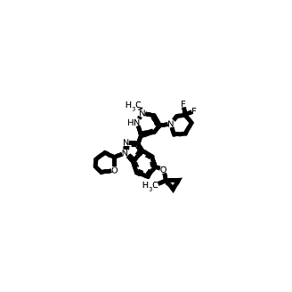 CN1C=C(N2CCCC(F)(F)C2)C=C(c2nn(C3CCCCO3)c3ccc(OC4(C)CC4)cc23)N1